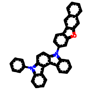 c1ccc(-n2c3ccccc3c3c4c5ccccc5n(-c5ccc6c(c5)oc5cc7ccccc7cc56)c4ccc32)cc1